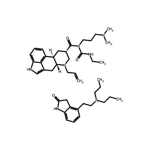 C=CCN1C[C@H](C(=O)N(CCCN(C)C)C(=O)NCC)C[C@@H]2c3cccc4[nH]cc(c34)C[C@H]21.CCCN(CCC)CCc1cccc2c1CC(=O)N2